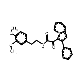 COc1ccc(CCNC(=O)C(=O)c2c(-c3ccccc3)cc3ccccn23)cc1OC